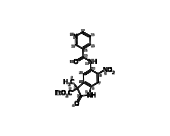 CCOC(=O)C1(C)C(=O)Nc2cc([N+](=O)[O-])c(NC(=O)c3cccnc3)cc21